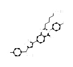 O=C(O)CCCCc1nc2cc(-c3cc([C@@H](O)c4ccc(F)cc4)on3)ccc2c(=O)n1-c1ccc(F)cc1